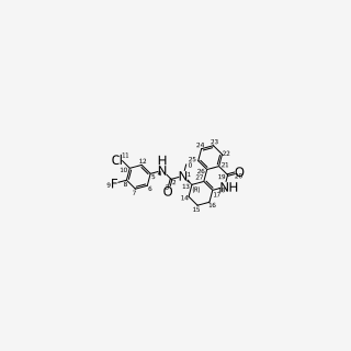 CN(C(=O)Nc1ccc(F)c(Cl)c1)[C@@H]1CCCc2[nH]c(=O)c3ccccc3c21